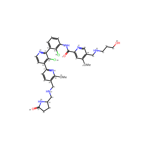 COc1cc(C(=O)Nc2cccc(-c3nccc(-c4ccc(CNCC5CCC(=O)N5)c(OC)n4)c3Cl)c2Cl)ncc1CNCCCO